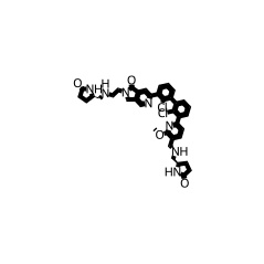 COc1nc(-c2cccc(-c3cccc(-c4cc5c(cn4)CN(CCNC[C@@H]4CCC(=O)N4)C5=O)c3Cl)c2Cl)ccc1CNC[C@H]1CCC(=O)N1